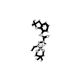 CCN(SN(C)C(=O)Oc1cccc2c1OC(C)(C)C2)P1(=S)OCC(C)(C)CO1